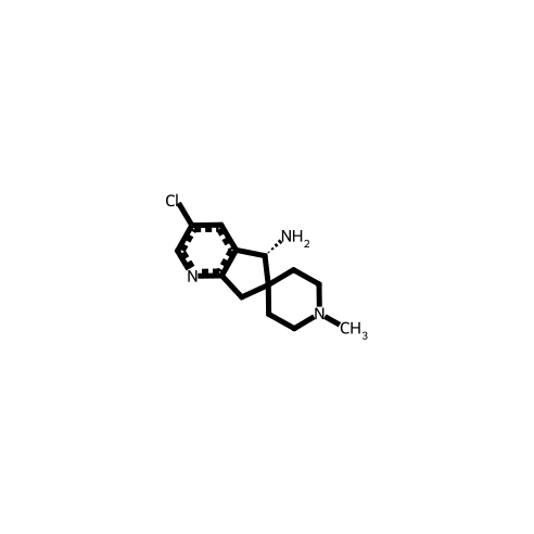 CN1CCC2(CC1)Cc1ncc(Cl)cc1[C@@H]2N